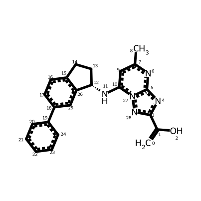 C=C(O)c1nc2nc(C)cc(N[C@H]3CCc4ccc(-c5ccccc5)cc43)n2n1